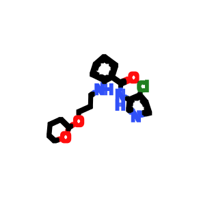 O=C(Nc1cnccc1Cl)c1ccccc1NCCCOC1CCCCO1